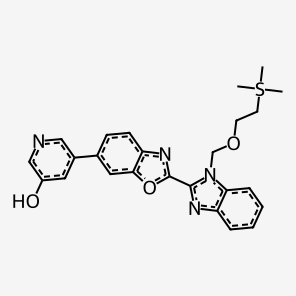 CS(C)(C)CCOCn1c(-c2nc3ccc(-c4cncc(O)c4)cc3o2)nc2ccccc21